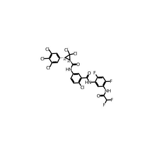 O=C(Nc1cc(NC(=O)C(F)F)c(F)cc1F)c1cc(NC(=O)[C@H]2[C@H](c3cc(Cl)c(Cl)c(Cl)c3)C2(Cl)Cl)ccc1Cl